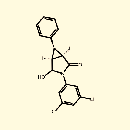 O=C1[C@@H]2[C@H](c3ccccc3)[C@@H]2C(O)N1c1cc(Cl)cc(Cl)c1